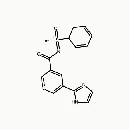 C[S@@](=O)(=NC(=O)c1cncc(-c2ncc[nH]2)c1)C1C=CC=CC1